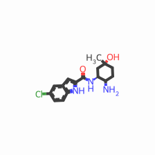 CC1(O)CCC(N)[C@@H](NC(=O)c2cc3cc(Cl)ccc3[nH]2)C1